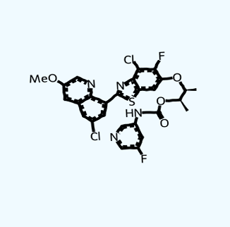 COc1cnc2c(-c3nc4c(Cl)c(F)c(O[C@@H](C)[C@@H](C)OC(=O)Nc5cncc(F)c5)cc4s3)cc(Cl)cc2c1